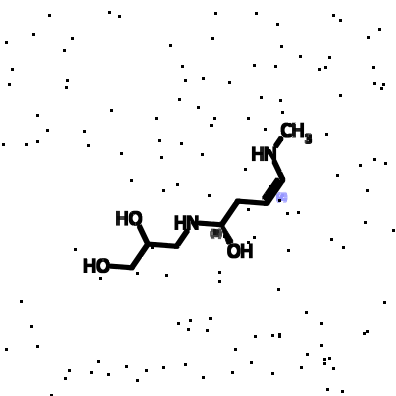 CN/C=C\C[C@@H](O)NCC(O)CO